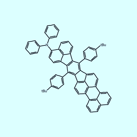 CC(C)(C)c1ccc(-c2c3c4cccc5c(N(c6ccccc6)c6ccccc6)ccc(c3c(-c3ccc(C(C)(C)C)cc3)c3c6ccc7c8cccc9cccc(c%10ccc(c23)c6c%107)c98)c54)cc1